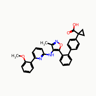 COc1ccccc1-c1cccc(Nc2c(C)noc2-c2ccccc2-c2ccc(C3(C(=O)O)CC3)cc2)n1